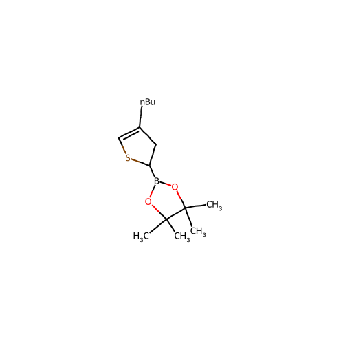 CCCCC1=CSC(B2OC(C)(C)C(C)(C)O2)C1